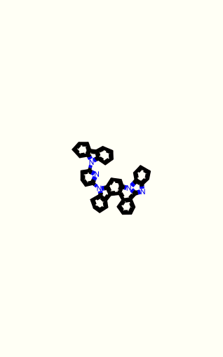 c1cc(-n2c3ccccc3c3ccccc32)nc(-n2c3ccccc3c3c4c5ccccc5c5nc6ccccc6n5c4ccc32)c1